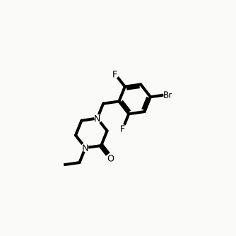 CCN1CCN(Cc2c(F)cc(Br)cc2F)CC1=O